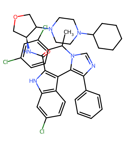 CC(c1ccc(Cl)cc1Cl)n1cnc(-c2ccccc2)c1-c1c(C(=O)N[C@H]2COCC2N2CCN(C3CCCCC3)CC2)[nH]c2cc(Cl)ccc12